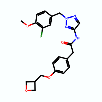 COc1ccc(Cn2ncc(NC(=O)Cc3ccc(OCC4COC4)cc3)n2)cc1F